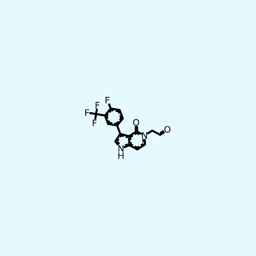 O=CCn1ccc2[nH]cc(-c3ccc(F)c(C(F)(F)F)c3)c2c1=O